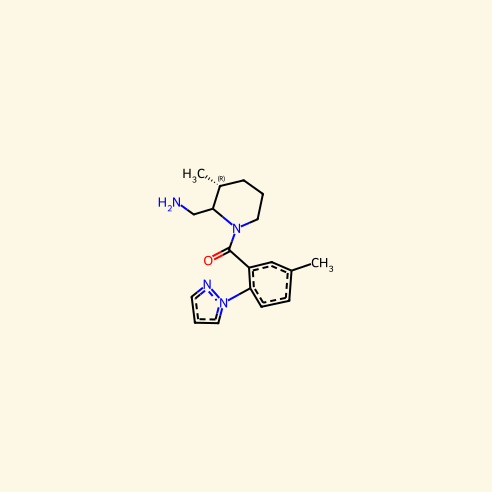 Cc1ccc(-n2cccn2)c(C(=O)N2CCC[C@@H](C)C2CN)c1